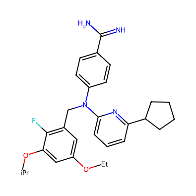 CCOc1cc(CN(c2ccc(C(=N)N)cc2)c2cccc(C3CCCC3)n2)c(F)c(OC(C)C)c1